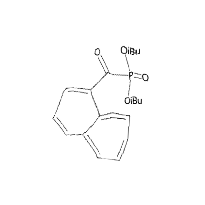 CC(C)COP(=O)(OCC(C)C)C(=O)c1cccc2ccccc12